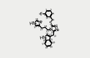 Fc1cccc(CSc2nnc(Cc3c[nH]c4ccccc34)n2CCCc2c[nH]cn2)c1